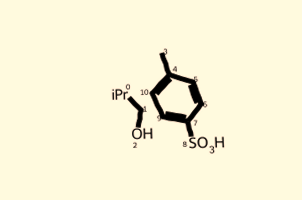 CC(C)CO.Cc1ccc(S(=O)(=O)O)cc1